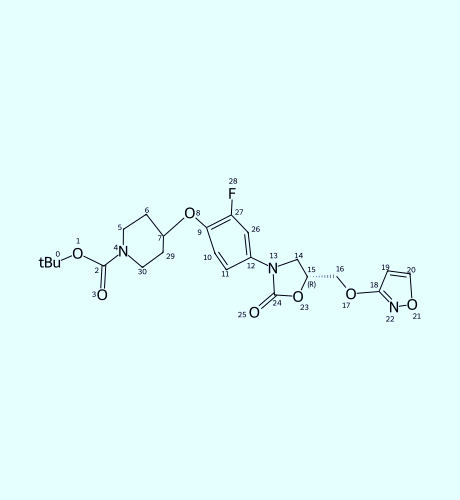 CC(C)(C)OC(=O)N1CCC(Oc2ccc(N3C[C@H](COc4ccon4)OC3=O)cc2F)CC1